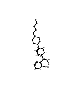 CCCCCC1CCC(c2cnc(C(OC)c3ccccc3F)nc2)CC1